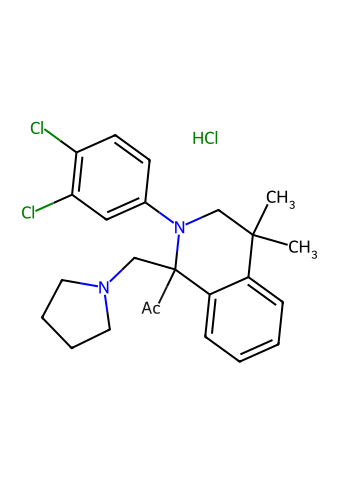 CC(=O)C1(CN2CCCC2)c2ccccc2C(C)(C)CN1c1ccc(Cl)c(Cl)c1.Cl